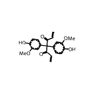 C=CC(=O)C(C(=O)C=C)(c1ccc(O)c(OC)c1)c1ccc(O)c(OC)c1